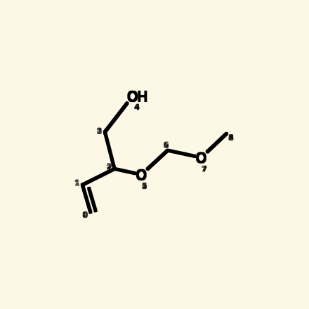 C=CC(CO)OCOC